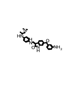 CC(CN(C)C)Nc1ccc(NC=C2C(=O)Nc3cc(C(=O)c4cccc(N)c4)ccc32)cc1